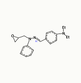 CCN(CC)c1ccc(/C=N/N(CC2CO2)c2ccccc2)cc1